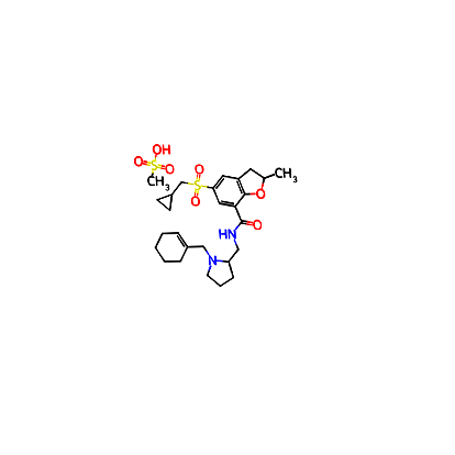 CC1Cc2cc(S(=O)(=O)CC3CC3)cc(C(=O)NCC3CCCN3CC3=CCCCC3)c2O1.CS(=O)(=O)O